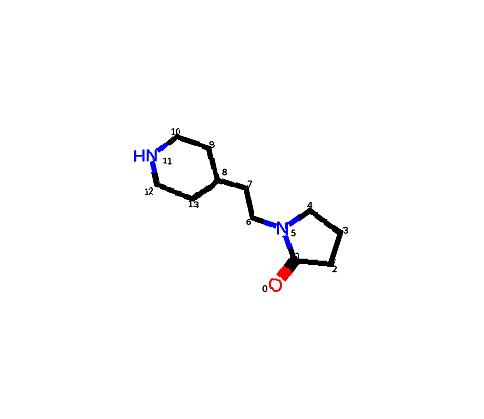 O=C1CCCN1CCC1CCNCC1